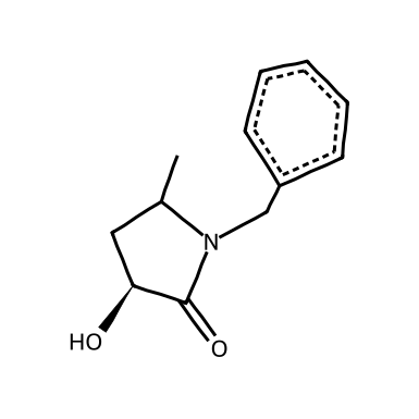 CC1C[C@H](O)C(=O)N1Cc1ccccc1